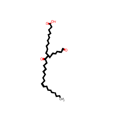 CCCCCCCC/C=C\CCCCCCCC(=O)C(CCCCCC=O)CCCCCCCCCCC(=O)O